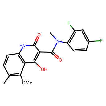 COc1c(C)ccc2[nH]c(=O)c(C(=O)N(C)c3ccc(F)cc3F)c(O)c12